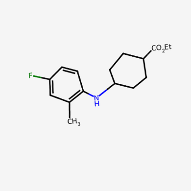 CCOC(=O)C1CCC(Nc2ccc(F)cc2C)CC1